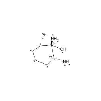 N[C@@H]1CCCC[C@]1(N)O.[Pt]